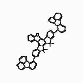 CC1(C)c2cc(-c3cccc4c3-c3cccc5cccc-4c35)ccc2-c2c1c1c(c3c2oc2ccccc23)-c2ccc(-c3cccc4c3-c3cccc5cccc-4c35)cc2C1(C)C